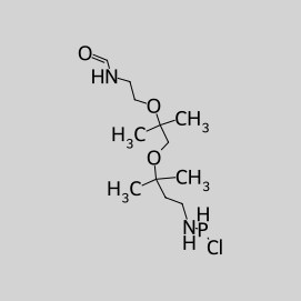 CC(C)(CCNPCl)OCC(C)(C)OCCNC=O